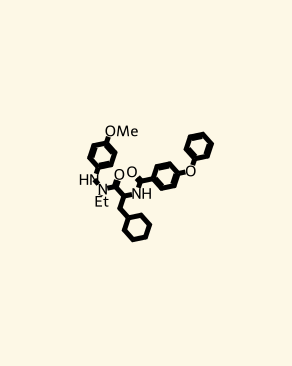 CCN(Nc1ccc(OC)cc1)C(=O)C(CC1CCCCC1)NC(=O)c1ccc(Oc2ccccc2)cc1